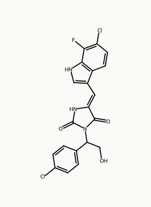 O=C1N/C(=C\c2c[nH]c3c(F)c(Cl)ccc23)C(=O)N1C(CO)c1ccc(Cl)cc1